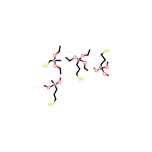 CCO[Si](C)(CS)OCC.CCO[Si](CCCS)(OCC)OCC.CO[Si](C)(CCCS)OC.CO[Si](CCCS)(OC)OC